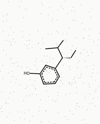 CC[C@H](c1cccc(O)c1)C(C)C